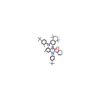 Cc1cc2c3c(c1)N(c1ccc(C(C)(C)C)cc1)c1c(oc4c1C=CCC4)B3c1cc3c(cc1N2c1ccc(C(C)(C)C)cc1C)C(C)(C)CCC3(C)C